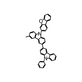 Cc1ccc2c(c1)c1cc(-c3ccc4c(c3)c3ccccc3n4-c3ccccc3)ccc1n2-c1ccc2c(c1)oc1ccccc12